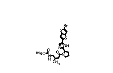 COC(=O)NCC(C)CC(=O)N1CCCC1c1ncc(C2=CC3SC(Br)=CC3S2)[nH]1